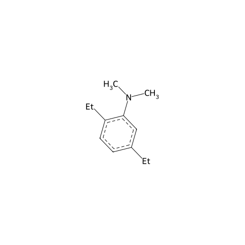 [CH2]Cc1ccc(CC)c(N(C)C)c1